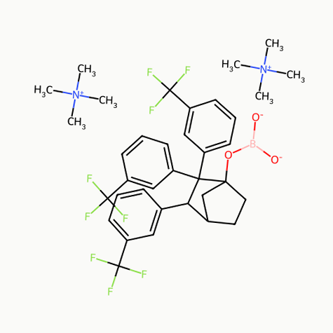 C[N+](C)(C)C.C[N+](C)(C)C.[O-]B([O-])OC12CCC(C1)C(c1cccc(C(F)(F)F)c1)C2(c1cccc(C(F)(F)F)c1)c1cccc(C(F)(F)F)c1